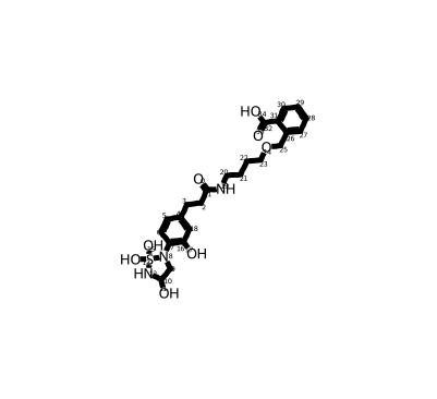 O=C(CCc1ccc(N2CC(O)NS2(O)O)c(O)c1)NCCCCOCc1ccccc1C(=O)O